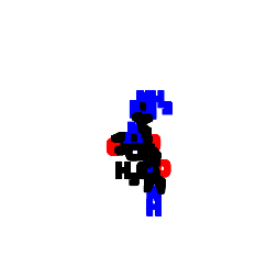 C[C@H]1COCCN1c1nc(O[C@H]2C[C@H](N(C)C(=O)C3CCNCC3)C2)cc(-c2cnc(N)nc2)n1